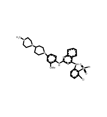 COc1cc(N2CCC(N3CCN(C)CC3)CC2)ccc1Nc1nc(Nc2cccc(Cl)c2S(=O)(=O)C(C)C)c2ccccc2n1